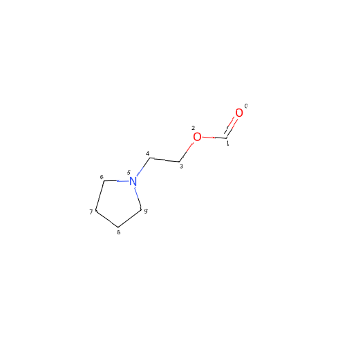 O=COCCN1CCCC1